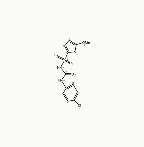 COc1ccc(S(=O)(=O)NC(=O)Nc2ccc(Cl)cc2)s1